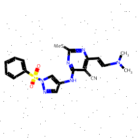 CSc1nc(C=CN(C)C)c(C#N)c(Nc2cnn(S(=O)(=O)c3ccccc3)c2)n1